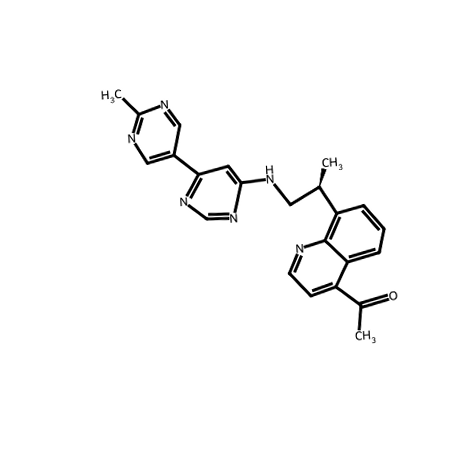 CC(=O)c1ccnc2c([C@H](C)CNc3cc(-c4cnc(C)nc4)ncn3)cccc12